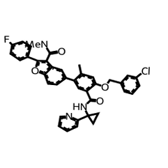 CNC(=O)c1c(-c2ccc(F)cc2)oc2ccc(-c3cc(C(=O)NC4(c5ccccn5)CC4)c(OCc4cccc(Cl)c4)cc3C)cc12